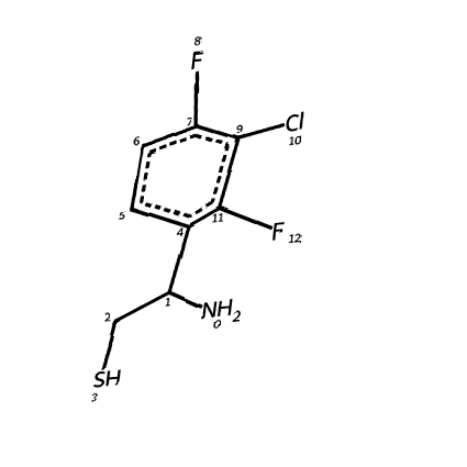 NC(CS)c1ccc(F)c(Cl)c1F